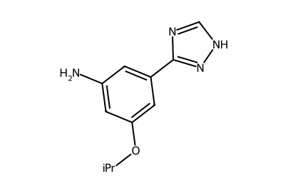 CC(C)Oc1cc(N)cc(-c2nc[nH]n2)c1